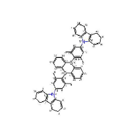 Cc1cc(-n2c3c(c4c2C=CCC4)CCC=C3)cc(C)c1B1c2ccccc2B(c2c(C)cc(-n3c4c(c5c3C=CCC5)CCC=C4)cc2C)c2ccccc21